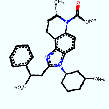 COC(=O)N1c2ccc3c(nc(CC(C(=O)O)c4ccccc4)n3[C@@H]3CCC[C@H](OC)C3)c2CC[C@@H]1C